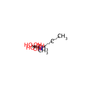 CCCCCCCCCCCCCCCC[N+](C)(C)C[C@H](O)[C@@H](O)[C@H](O)[C@H](O)CO